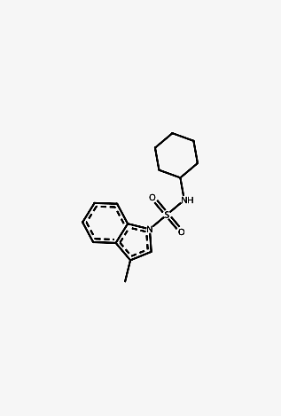 Cc1cn(S(=O)(=O)NC2CCCCC2)c2ccccc12